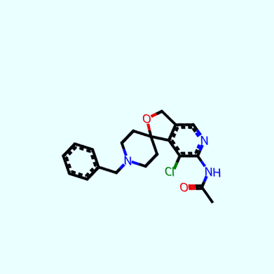 CC(=O)Nc1ncc2c(c1Cl)C1(CCN(Cc3ccccc3)CC1)OC2